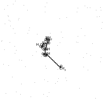 CC(=O)CCCCCCCCCCCCCCCCC(=O)N[C@@H](CCC(=O)NCCCC[C@H](NCC(=S)[C@H](C)NC(C)=O)C(=O)CN1CCC[C@H]1C(N)=O)C(=O)O